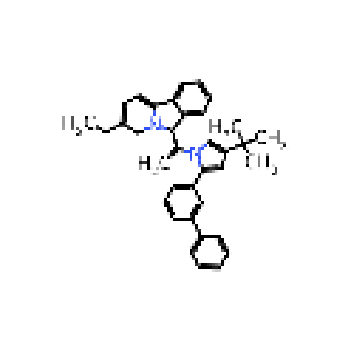 C=C(C1c2ccccc2C2=CC=C(CC)CN21)n1cc(C(C)(C)C)cc1-c1cccc(-c2ccccc2)c1